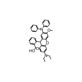 CCN(CC)c1ccc2c(c1)Oc1cc(OC)c(N(c3ccccc3)c3ccccc3)cc1C2c1ccccc1C(=O)O